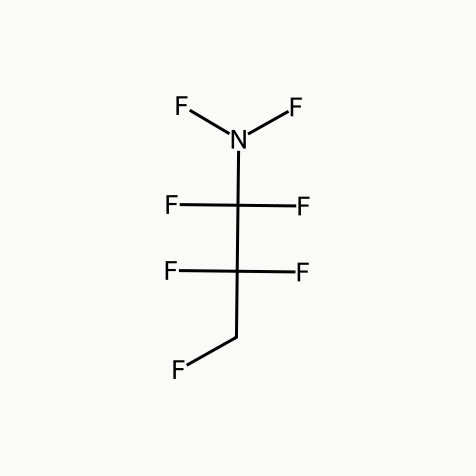 FCC(F)(F)C(F)(F)N(F)F